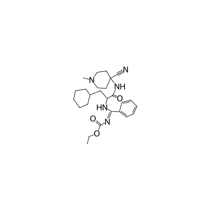 CCOC(=O)/N=C(\NC(CC1CCCCC1)C(=O)NC1(C#N)CCN(C)CC1)c1ccccc1